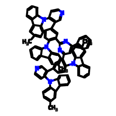 Cc1ccc2c(c1)c1ccccc1n2-c1ccncc1-c1ccc(-n2c3ccccc3c3cc(C)ccc32)c(-c2cc(-c3ccccc3)nc(-c3cc(-c4cnccc4-n4c5ccccc5c5cc(C)ccc54)ccc3-n3c4ccccc4c4cc(C)ccc43)n2)c1